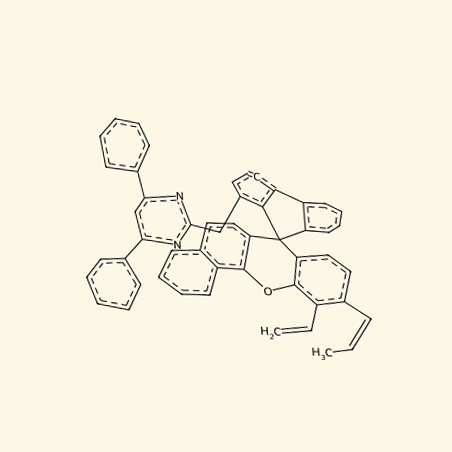 C=Cc1c(/C=C\C)ccc2c1Oc1c(ccc3ccccc13)C21c2ccccc2-c2cccc(Cc3nc(-c4ccccc4)cc(-c4ccccc4)n3)c21